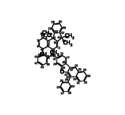 CC1C=CC2(C)C3=C1C1(C)C(=CC3(C)N(c3ccc4c(c3)oc3c(-c5ccccc5)c5ccccc5cc34)c3ccccc32)C(C)(C)c2ccccc21